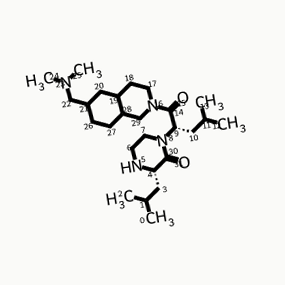 CC(C)C[C@@H]1NCCN([C@@H](CC(C)C)C(=O)N2CCC3CC(CN(C)C)CCC3C2)C1=O